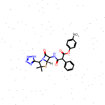 CC1(C)S[C@H]2C(NC(=O)C(C(=O)Oc3ccc([N+](=O)[O-])cc3)c3ccccc3)C(=O)N2C1c1nnn[nH]1